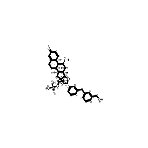 C[C@]12C=CC(=O)C=C1CC[C@H]1[C@@H]3C[C@H]4O[C@@H](c5cccc(Cc6cccc(CO)c6)c5)O[C@@]4(C(=O)COP(=O)(O)O)[C@@]3(C)C[C@H](O)[C@@]12F